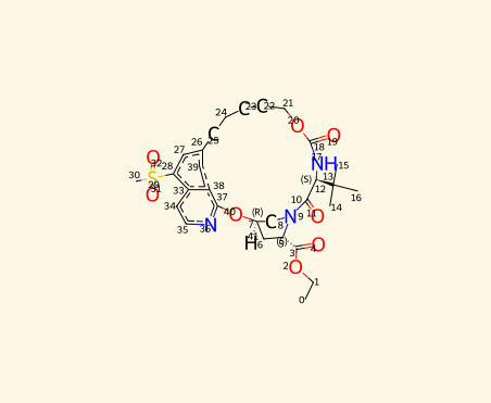 CCOC(=O)[C@@H]1C[C@@H]2CN1C(=O)[C@H](C(C)(C)C)NC(=O)OCCCCCc1cc(S(C)(=O)=O)c3ccnc(c3c1)O2